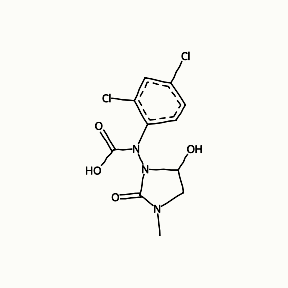 CN1CC(O)N(N(C(=O)O)c2ccc(Cl)cc2Cl)C1=O